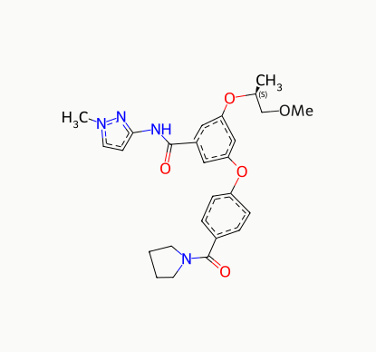 COC[C@H](C)Oc1cc(Oc2ccc(C(=O)N3CCCC3)cc2)cc(C(=O)Nc2ccn(C)n2)c1